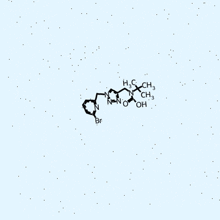 CC(C)(C)N(Cc1cn(Cc2cccc(Br)n2)nn1)C(=O)O